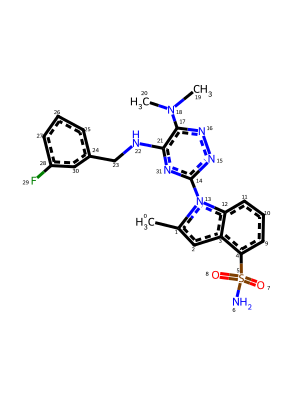 Cc1cc2c(S(N)(=O)=O)cccc2n1-c1nnc(N(C)C)c(NCc2cccc(F)c2)n1